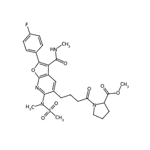 CNC(=O)c1c(-c2ccc(F)cc2)oc2nc(N(C)S(C)(=O)=O)c(CCCC(=O)N3CCCC3C(=O)OC)cc12